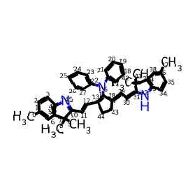 Cc1ccc2c(c1)C(C)(C)C(/C=C/C1=C(N(c3ccccc3)c3ccccc3)C(=C/C=C3/Nc4ccc(C)cc4C3(C)C)/CC1)=N2